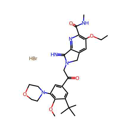 Br.CCOc1cc2c(nc1C(=O)NC)C(=N)N(CC(=O)c1cc(N3CCOCC3)c(OC)c(C(C)(C)C)c1)C2